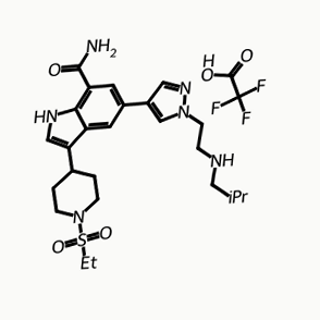 CCS(=O)(=O)N1CCC(c2c[nH]c3c(C(N)=O)cc(-c4cnn(CCNCC(C)C)c4)cc23)CC1.O=C(O)C(F)(F)F